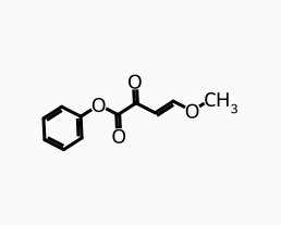 COC=CC(=O)C(=O)Oc1ccccc1